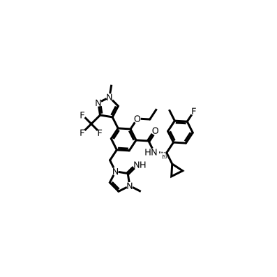 CCOc1c(C(=O)N[C@H](c2ccc(F)c(C)c2)C2CC2)cc(Cn2ccn(C)c2=N)cc1-c1cn(C)nc1C(F)(F)F